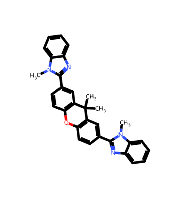 Cn1c(-c2ccc3c(c2)C(C)(C)c2cc(-c4nc5ccccc5n4C)ccc2O3)nc2ccccc21